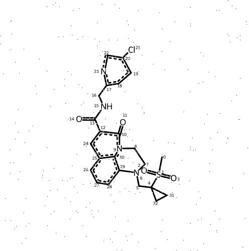 CS(=O)(=O)C1(CN2CCn3c(=O)c(C(=O)NCc4ccc(Cl)cn4)cc4cccc2c43)CC1